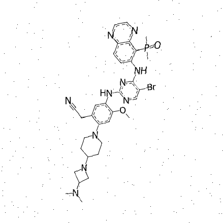 COc1cc(N2CCC(N3CC(N(C)C)C3)CC2)c(CC#N)cc1Nc1ncc(Br)c(Nc2ccc3nccnc3c2P(C)(C)=O)n1